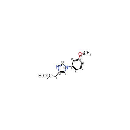 CCOC(=O)Cc1cn(-c2cccc(OC(F)(F)F)c2)cn1